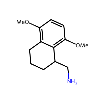 COc1ccc(OC)c2c1CCCC2CN